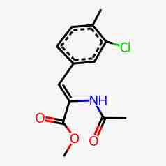 COC(=O)/C(=C/c1ccc(C)c(Cl)c1)NC(C)=O